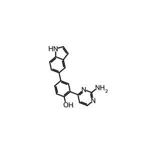 Nc1nccc(-c2cc(-c3ccc4[nH]ccc4c3)ccc2O)n1